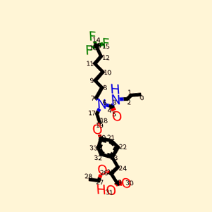 CCCNC(=O)N(CCCCCCC(F)(F)F)CCOc1ccc(CC(OCC)C(=O)O)cc1